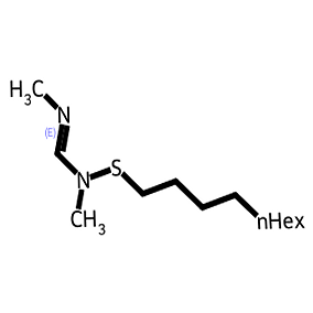 CCCCCCCCCCSN(C)/C=N/C